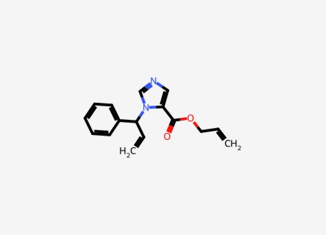 C=CCOC(=O)c1cncn1C(C=C)c1ccccc1